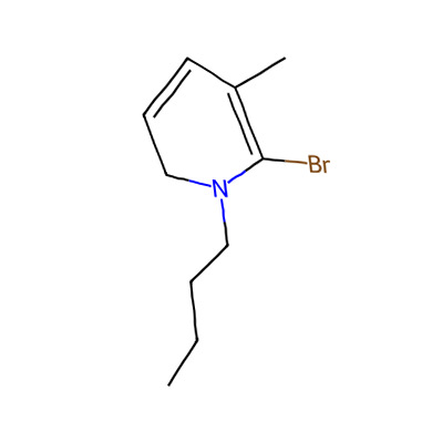 CCCCN1CC=CC(C)=C1Br